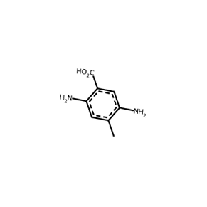 Cc1cc(N)c(C(=O)O)cc1N